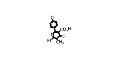 CCC1=NC(c2ccc(Cl)cc2)=C(C(=O)O)C(=O)C1C